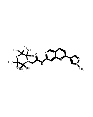 BC1(B)OC(B)(B)C(B)(B)N(CC(=O)Nc2cc3nc(-c4cnn(C)c4)ccc3cn2)C1(B)B